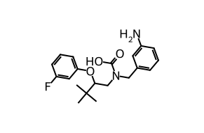 CC(C)(C)C(CN(Cc1cccc(N)c1)C(=O)O)Oc1cccc(F)c1